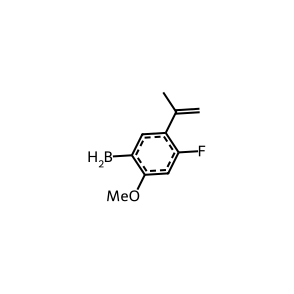 Bc1cc(C(=C)C)c(F)cc1OC